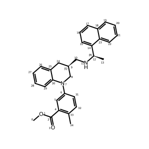 COC(=O)c1cc(N2C[C@H](CN[C@H](C)c3cccc4ccccc34)Cc3ccccc32)ccc1C